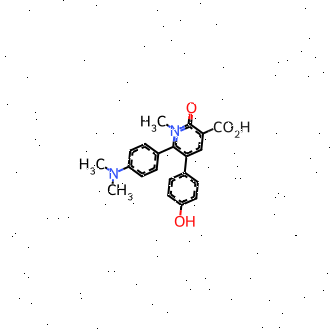 CN(C)c1ccc(-c2c(-c3ccc(O)cc3)cc(C(=O)O)c(=O)n2C)cc1